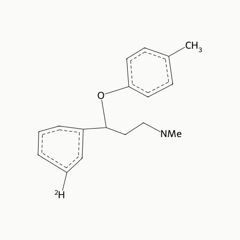 [2H]c1cccc(C(CCNC)Oc2ccc(C)cc2)c1